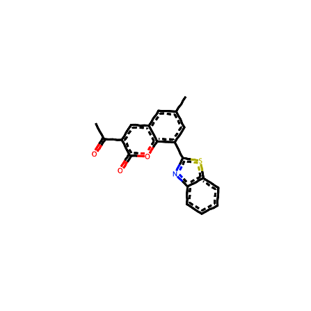 CC(=O)c1cc2cc(C)cc(-c3nc4ccccc4s3)c2oc1=O